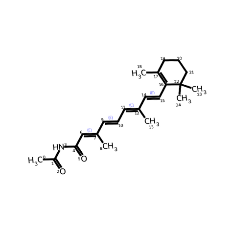 CC(=O)NC(=O)/C=C(C)/C=C/C=C(C)/C=C/C1=C(C)CCCC1(C)C